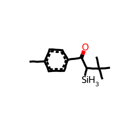 Cc1ccc(C(=O)C([SiH3])C(C)(C)C)cc1